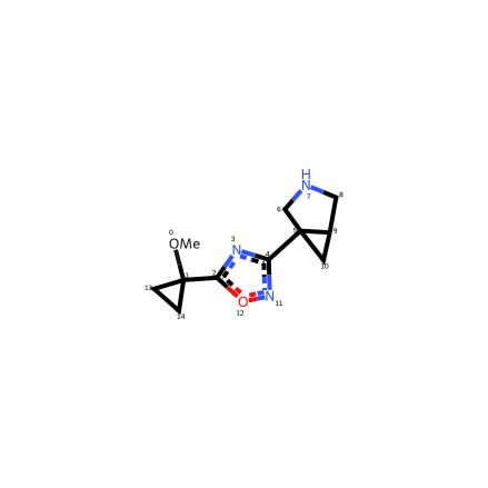 COC1(c2nc(C34CNCC3C4)no2)CC1